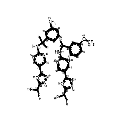 CC(C)(Nc1ncc(-c2nnc(C(F)F)o2)cn1)c1cccc(C(F)(F)F)c1.CC(Nc1ncc(-c2nnc(C(F)F)o2)cn1)c1cccc(OC(F)(F)F)c1